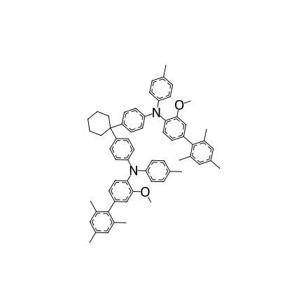 COc1cc(-c2c(C)cc(C)cc2C)ccc1N(c1ccc(C)cc1)c1ccc(C2(c3ccc(N(c4ccc(C)cc4)c4ccc(-c5c(C)cc(C)cc5C)cc4OC)cc3)CCCCC2)cc1